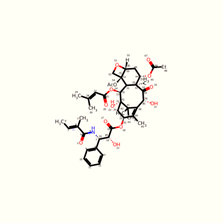 C/C=C(\C)C(=O)N[C@@H](c1ccccc1)[C@@H](O)C(=O)O[C@H]1C[C@@]2(O)[C@@H](OC(=O)C=C(C)C)C3[C@](C)(C(=O)[C@H](O)C(=C1C)C2(C)C)[C@@H](OC(=O)CC)C[C@H]1OC[C@@]31OC(C)=O